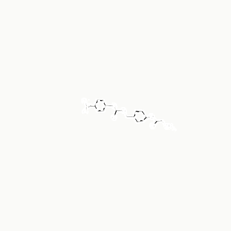 CCC(=O)Oc1ccc(COC(=O)Oc2ccc([N+](=O)[O-])cc2)cc1